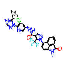 Cc1ncnn1-c1ncc(NC(=O)c2cnn(-c3ccc4c5c(cccc35)C(=O)N4)c2C(F)(F)F)cc1Cl